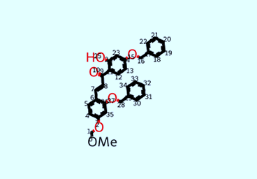 COCOc1ccc(C=CC(=O)c2ccc(OCc3ccccc3)cc2O)c(OCc2ccccc2)c1